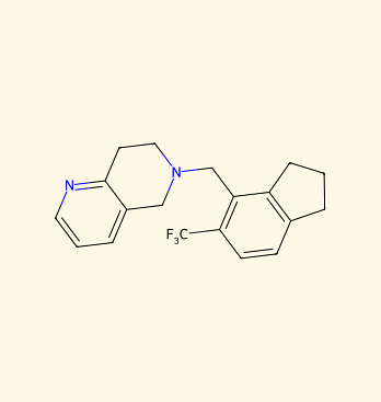 FC(F)(F)c1ccc2c(c1CN1CCc3ncccc3C1)CCC2